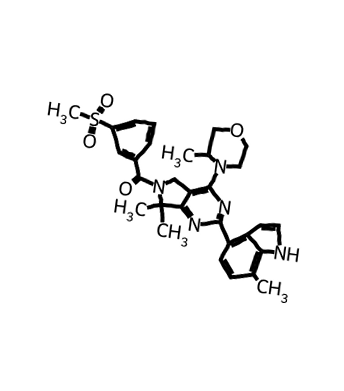 Cc1ccc(-c2nc(N3CCOCC3C)c3c(n2)C(C)(C)N(C(=O)c2cccc(S(C)(=O)=O)c2)C3)c2cc[nH]c12